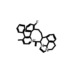 C=C1C2C(CCc3c(F)cccc3-c3c(-c4ccccc4)c(C)cc[n+]31)c1cccc3c1C1N(C=CN21)CC3